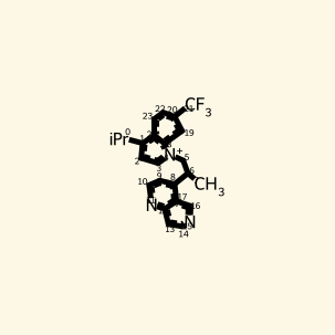 CC(C)c1cc[n+](CC(C)c2ccnc3ccncc23)c2cc(C(F)(F)F)ccc12